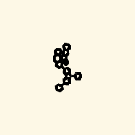 C1=Cc2ccc(-c3ccc4c(c3)c3nc(-c5ccccc5)ccc3n4-c3ccccn3)cc2C2(c3ccccc31)c1ccccc1-c1cc3ccccc3cc12